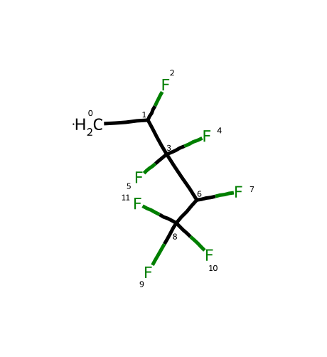 [CH2]C(F)C(F)(F)C(F)C(F)(F)F